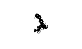 O=C(C1CC1)N1CC(CN2C(=O)C3(CCOC3)N=C2c2ccc(-c3ccc4cccnc4c3)cc2)C1